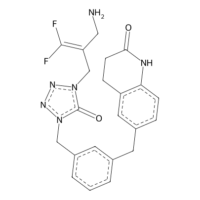 NCC(Cn1nnn(Cc2cccc(Cc3ccc4c(c3)CCC(=O)N4)c2)c1=O)=C(F)F